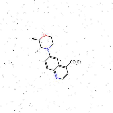 CCOC(=O)c1ccnc2ccc(N3CCO[C@H](C)[C@H]3C)cc12